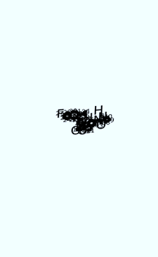 NC1(C(=O)Nc2ccc3c(c2)CC[C@@]32OC(=O)N(CC(=O)N3Cc4ccc(F)cc4CC[C@@H]3C3CC3)C2=O)CCC1